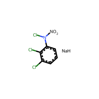 O=[N+]([O-])N(Cl)c1cccc(Cl)c1Cl.[NaH]